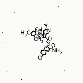 Cc1cc(C)c(S(=O)(=O)n2cc(C(=O)COc3cc4ccc(Cl)cc4cc3C(N)=O)c3cnc(C4CC4)cc32)c(C)c1